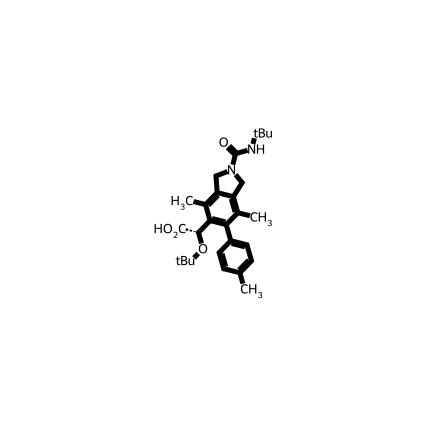 Cc1ccc(-c2c(C)c3c(c(C)c2[C@H](OC(C)(C)C)C(=O)O)CN(C(=O)NC(C)(C)C)C3)cc1